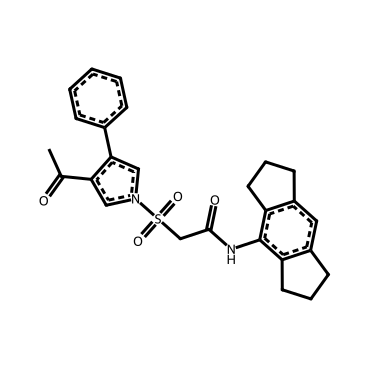 CC(=O)c1cn(S(=O)(=O)CC(=O)Nc2c3c(cc4c2CCC4)CCC3)cc1-c1ccccc1